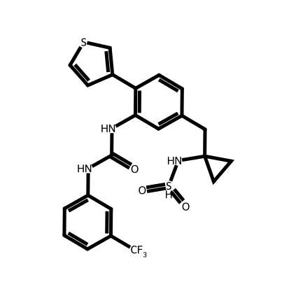 O=C(Nc1cccc(C(F)(F)F)c1)Nc1cc(CC2(N[SH](=O)=O)CC2)ccc1-c1ccsc1